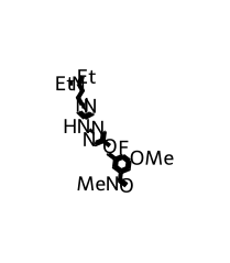 CCN(CC)CCn1cc(Nc2ncc(OCc3cc(C(=O)NC)cc(OC)c3F)cn2)cn1